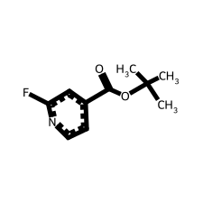 CC(C)(C)OC(=O)c1ccnc(F)c1